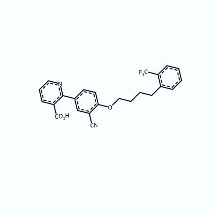 N#Cc1cc(-c2ncccc2C(=O)O)ccc1OCCCCc1ccccc1C(F)(F)F